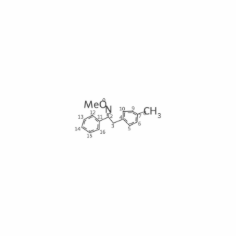 CON=C(Cc1ccc(C)cc1)c1ccccc1